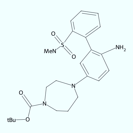 CNS(=O)(=O)c1ccccc1-c1cc(N2CCCN(C(=O)OC(C)(C)C)CC2)ccc1N